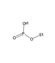 CCO[P](=O)O